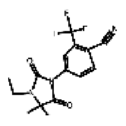 [CH2]C1(C)C(=O)N(c2ccc(C#N)c(C(F)(F)F)c2)C(=O)N1CC